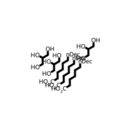 CCCCCCCCCCCCCCCC(=O)O.CCCCCCCCCCCCCCCC(=O)O.CCCCCCCCCCCCCCCC(=O)O.OCC(O)CO.OCC(O)CO.OCC(O)CO